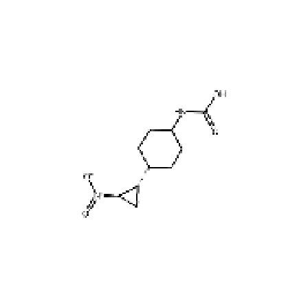 O=C(O)NC1CCC([C@@H]2C[C@H]2[N+](=O)[O-])CC1